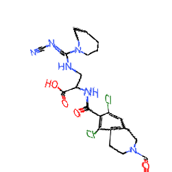 N#C/N=C(\NCC(NC(=O)c1c(Cl)cc2c(c1Cl)CCN(C=O)C2)C(=O)O)N1CCCCC1